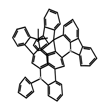 CC1(C)c2ccccc2-c2cc(N(c3ccccc3)c3ccccc3-c3ccc4c(c3)-n3c5ccccc5c5cccc(c53)C43c4ccccc4-c4ccccc43)ccc21